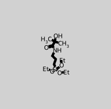 CCO[Si](CCCNC(=O)C(C)(C)O)(OCC)OCC